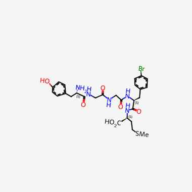 CSCC[C@H](NC(=O)[C@H](Cc1ccc(Br)cc1)NC(=O)CNC(=O)CNC(=O)[C@@H](N)Cc1ccc(O)cc1)C(=O)O